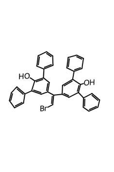 Oc1c(-c2ccccc2)cc(C(=CBr)c2cc(-c3ccccc3)c(O)c(-c3ccccc3)c2)cc1-c1ccccc1